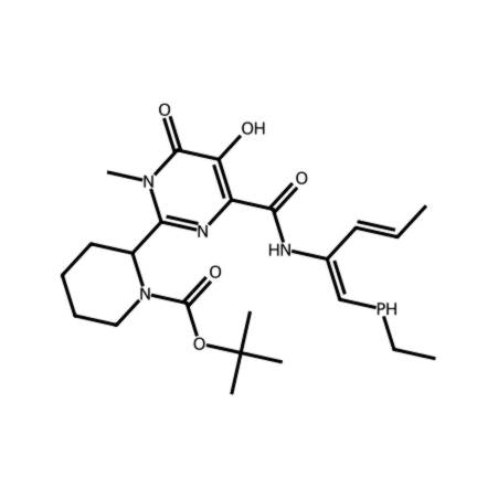 C/C=C/C(=C\PCC)NC(=O)c1nc(C2CCCCN2C(=O)OC(C)(C)C)n(C)c(=O)c1O